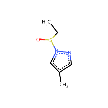 CC[S+]([O-])n1cc(C)cn1